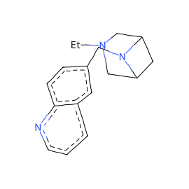 CCN1CC2CC(C1)N2Cc1ccc2ncccc2c1